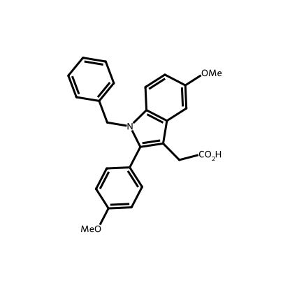 COc1ccc(-c2c(CC(=O)O)c3cc(OC)ccc3n2Cc2ccccc2)cc1